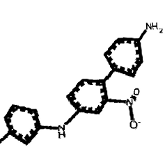 Nc1ccc(-c2ccc(Nc3cccc(Br)c3)cc2[N+](=O)[O-])cc1